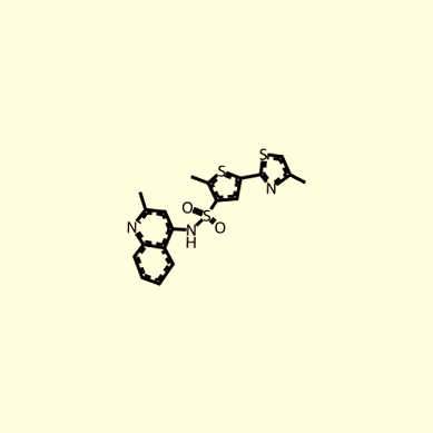 Cc1csc(-c2cc(S(=O)(=O)Nc3cc(C)nc4ccccc34)c(C)s2)n1